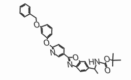 CC(NC(=O)OC(C)(C)C)c1ccc2nc(-c3ccc(Oc4cccc(OCc5ccccc5)c4)nc3)oc2c1